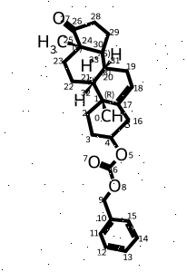 C[C@]12CCC(OC(=O)OCc3ccccc3)CC1=CC[C@@H]1[C@H]2CC[C@]2(C)C(=O)CC[C@@H]12